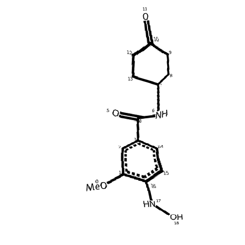 COc1cc(C(=O)NC2CCC(=O)CC2)ccc1NO